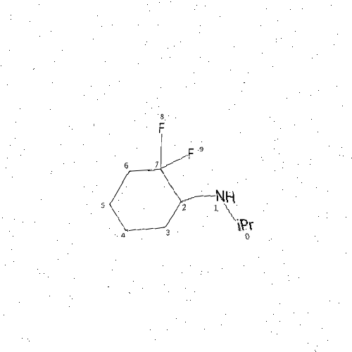 CC(C)NC1CCCCC1(F)F